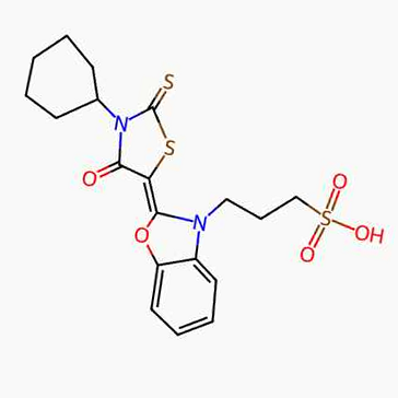 O=C1C(=C2Oc3ccccc3N2CCCS(=O)(=O)O)SC(=S)N1C1CCCCC1